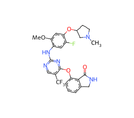 COc1cc(OC2CCN(C)C2)c(F)cc1Nc1ncc(C(F)(F)F)c(Oc2cccc3c2C(=O)NC3)n1